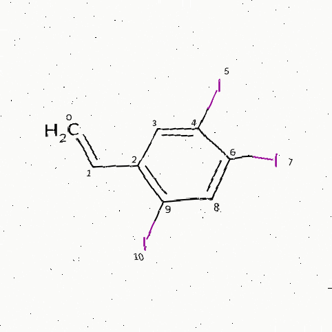 C=Cc1cc(I)c(I)cc1I